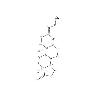 CCCON=C1C=C2CCC3C(CC[C@]4(C)C(=O)CCC34)[C@@]2(C)CC1